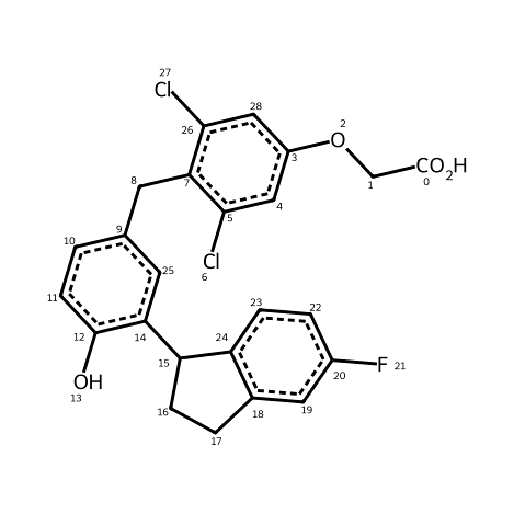 O=C(O)COc1cc(Cl)c(Cc2ccc(O)c(C3CCc4cc(F)ccc43)c2)c(Cl)c1